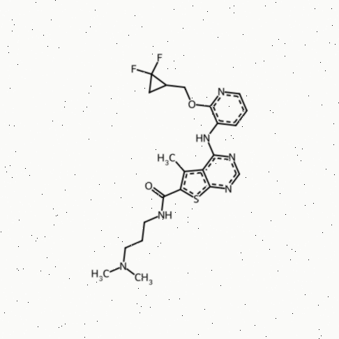 Cc1c(C(=O)NCCCN(C)C)sc2ncnc(Nc3cccnc3OCC3CC3(F)F)c12